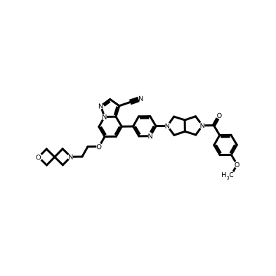 COc1ccc(C(=O)N2CC3CN(c4ccc(-c5cc(OCCN6CC7(COC7)C6)cn6ncc(C#N)c56)cn4)CC3C2)cc1